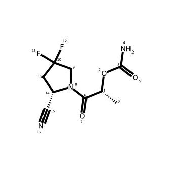 C[C@@H](OC(N)=O)C(=O)N1CC(F)(F)C[C@H]1C#N